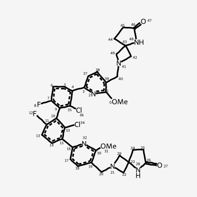 COc1nc(-c2ccc(F)c(-c3c(F)ccc(-c4ccc(CN5CC6(CCC(=O)N6)C5)c(OC)n4)c3Cl)c2Cl)ccc1CN1CC2(CCC(=O)N2)C1